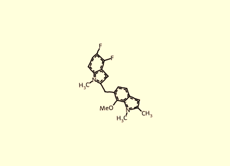 COc1c(Cc2cc3c(F)c(F)ccc3n2C)ccc2cc(C)n(C)c12